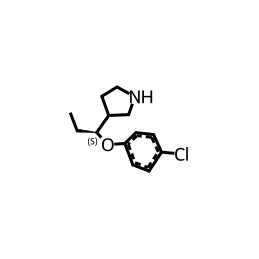 CC[C@H](Oc1ccc(Cl)cc1)C1CCNC1